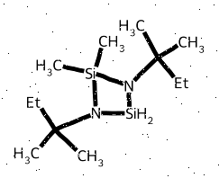 CCC(C)(C)N1[SiH2]N(C(C)(C)CC)[Si]1(C)C